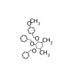 C=C1C[C@@H](C)[C@H](OCc2ccccc2)[C@@H](OCc2ccccc2)[C@@H]1OCc1ccc(OC)cc1